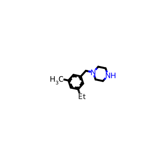 CCc1cc(C)cc(CN2CCNCC2)c1